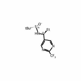 CC[C@H](N[S@@+]([O-])C(C)(C)C)c1cnc(C(F)(F)F)nc1